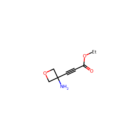 CCOC(=O)C#CC1(N)COC1